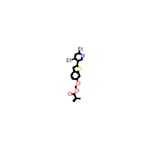 C=C(C)C(=O)OCOc1ccc2cc(-c3cnc(CC)cc3CC)sc2c1